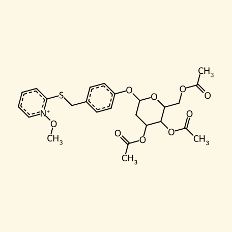 CO[n+]1ccccc1SCc1ccc(OC2CC(OC(C)=O)C(OC(C)=O)C(COC(C)=O)O2)cc1